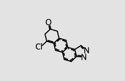 O=C1CC(Cl)=c2cc3ccc4c(c3cc2C1)C=NN=4